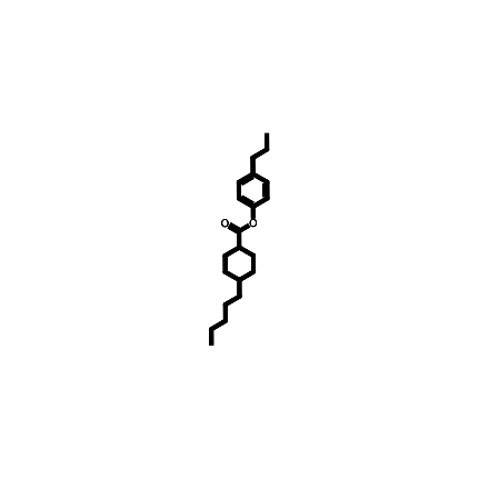 CCCCCC1CCC(C(=O)Oc2ccc(CCC)cc2)CC1